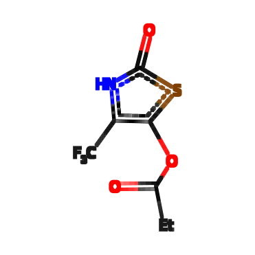 CCC(=O)Oc1sc(=O)[nH]c1C(F)(F)F